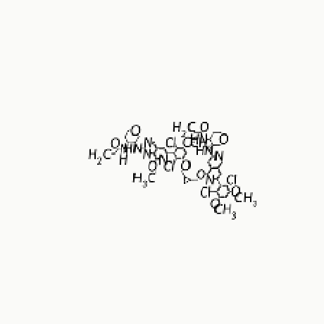 C=CC(=O)N[C@H]1CCOC[C@H]1Nc1cc2c(OCC3CC3COc3cc(OC)c(Cl)c(-c4cc5cnc(N[C@@H]6COCC[C@@H]6NC(=O)C=C)nc5c(OCC)n4)c3Cl)nc(-c3c(Cl)c(OC)cc(OC)c3Cl)cc2cn1